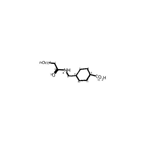 CCCCCCCCCC(=O)NCC1CCC(C(=O)O)CC1